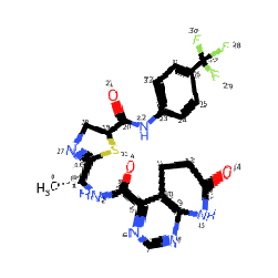 C[C@@H](NC(=O)c1ncnc2c1CCC(=O)N2)C1=NCC(C(=O)Nc2ccc(C(F)(F)F)cc2)S1